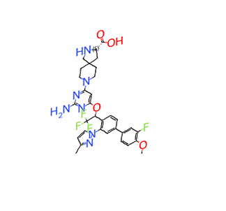 COc1ccc(-c2ccc(C(Oc3cc(N4CCC5(CC4)CN[C@H](C(=O)O)C5)nc(N)n3)C(F)(F)F)c(-n3ccc(C)n3)c2)cc1F